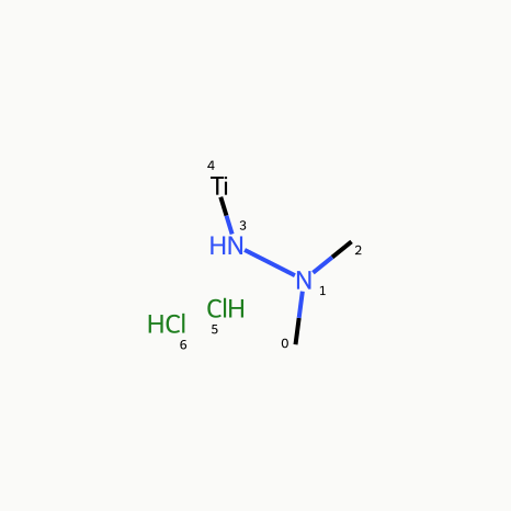 CN(C)[NH][Ti].Cl.Cl